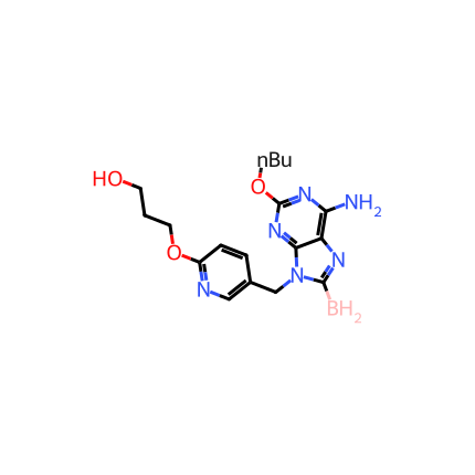 Bc1nc2c(N)nc(OCCCC)nc2n1Cc1ccc(OCCCO)nc1